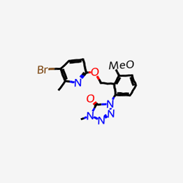 COc1cccc(-n2nnn(C)c2=O)c1COc1ccc(Br)c(C)n1